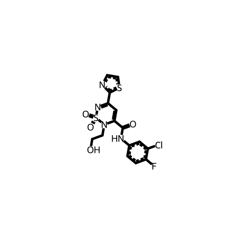 O=C(Nc1ccc(F)c(Cl)c1)C1=CC(c2nccs2)=NS(=O)(=O)N1CCO